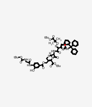 CC(C)(C)OC(=O)NCC(=O)Nc1ccc(C(=O)OCC2=C(C(=O)OC(C)(C)C)N3C(=O)C(NC(=O)C(=NOC(C)(C)C(=O)OC(C)(C)C)c4csc(NC(c5ccccc5)(c5ccccc5)c5ccccc5)n4)[C@@H]3SC2)cc1O